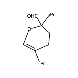 CC(C)C1=COC(C=O)(C(C)C)CC1